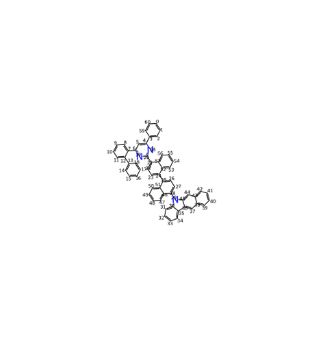 c1ccc(-c2cc(-c3ccccc3-c3ccccc3)nc(-c3ccc(-c4ccc(-n5c6ccccc6c6cc7ccccc7cc65)c5ccccc45)c4ccccc34)n2)cc1